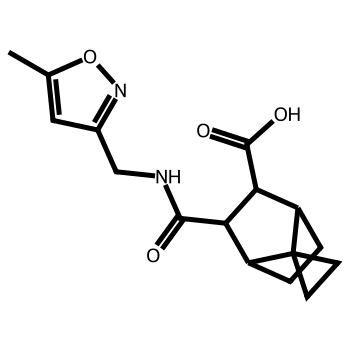 Cc1cc(CNC(=O)C2C(C(=O)O)C3CCC2C32CC2)no1